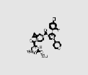 CC(C)(C)C[C@H](NC(=O)OC(C)(C)C)C(=O)N1CCN(C(=O)[C@@H]2CN(C3CCOCC3)C[C@H]2c2ccc(Cl)cc2F)CC12CC2